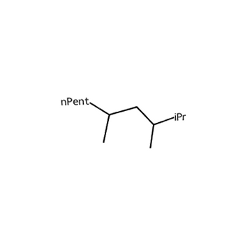 CCCCCC(C)CC(C)C(C)C